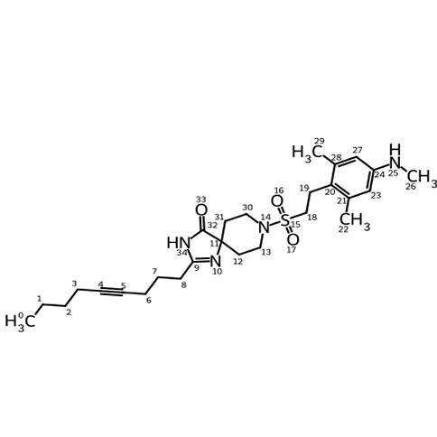 CCCCC#CCCCC1=NC2(CCN(S(=O)(=O)CCc3c(C)cc(NC)cc3C)CC2)C(=O)N1